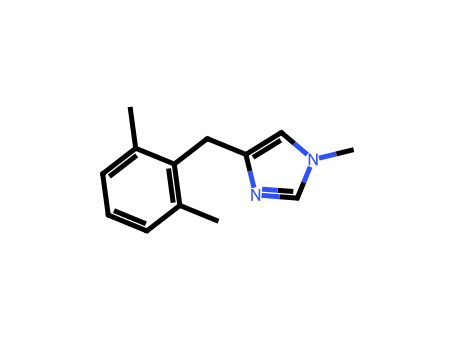 Cc1cccc(C)c1Cc1cn(C)cn1